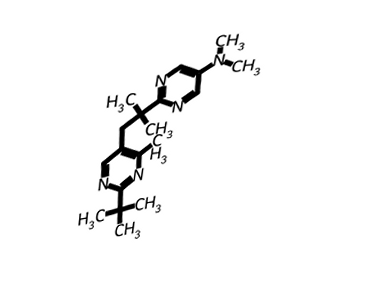 Cc1nc(C(C)(C)C)ncc1CC(C)(C)c1ncc(N(C)C)cn1